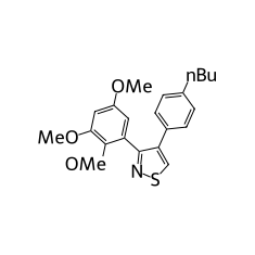 CCCCc1ccc(-c2csnc2-c2cc(OC)cc(OC)c2OC)cc1